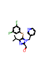 CC(C)c1nc(C=O)n(Cc2cccnc2)c1Sc1cc(F)cc(F)c1